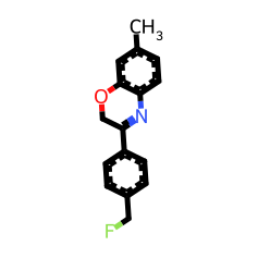 Cc1ccc2c(c1)OCC(c1ccc(CF)cc1)=N2